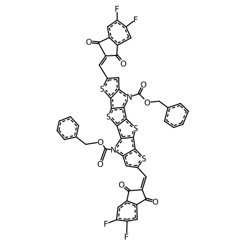 O=C1C(=Cc2cc3c(s2)c2sc4c(sc5c6sc(C=C7C(=O)c8cc(F)c(F)cc8C7=O)cc6n(C(=O)OCc6ccccc6)c54)c2n3C(=O)OCc2ccccc2)C(=O)c2cc(F)c(F)cc21